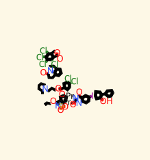 C=CCOC1=NS(=O)(=O)c2ccccc21.CC1CCCCN1CCCOC(=O)c1ccc(Cl)c(Cl)c1.CCCOc1nc2ccc(I)cc2c(=O)n1CCC.O=C1CCc2cccc3c2N1CC3.O=C1OCc2c(Cl)c(Cl)c(Cl)c(Cl)c21.Oc1ccccc1-c1ccccc1